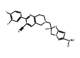 C[C@]1(CN2CCc3nc(-c4ccc(F)c(F)c4)c(C#N)cc3C2)Cn2cc([N+](=O)[O-])nc2O1